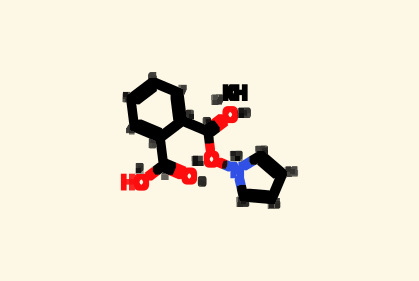 O=C(O)c1ccccc1C(=O)On1cccc1.[KH]